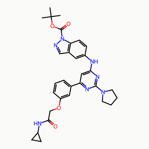 CC(C)(C)OC(=O)n1ncc2cc(Nc3cc(-c4cccc(OCC(=O)NC5CC5)c4)nc(N4CCCC4)n3)ccc21